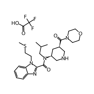 CSCCn1c(C(=O)N(CC(C)C)[C@@H]2CNC[C@H](C(=O)N3CCOCC3)C2)nc2ccccc21.O=C(O)C(F)(F)F